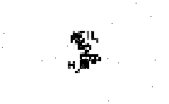 CCCc1onc(C)c1COc1cccc(C(=O)c2cc3ccccc3nc2C(=O)NN)c1